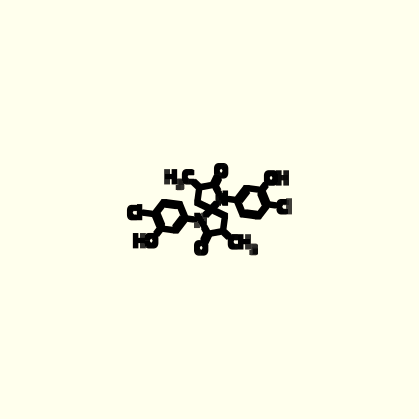 CC1CC2(CC(C)C(=O)N2c2ccc(Cl)c(O)c2)N(c2ccc(Cl)c(O)c2)C1=O